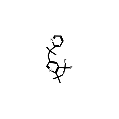 CC(C)(C)c1ncc(CC(C)(C)c2ccccn2)cc1C(F)(F)F